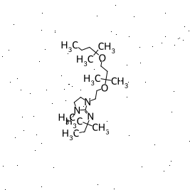 CCCC(C)(C)OCCC(C)(C)OCCN1CCN(C)C1=NC(C)(C)CC